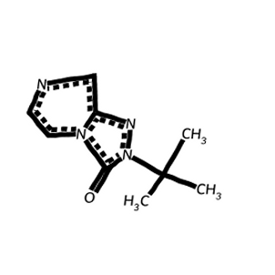 CC(C)(C)n1nc2cnccn2c1=O